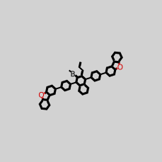 C=C/C=c1/c(-c2ccc(-c3ccc4oc5ccccc5c4c3)cc2)c2ccccc2c(-c2ccc(-c3ccc4oc5ccccc5c4c3)cc2)/c1=B/C